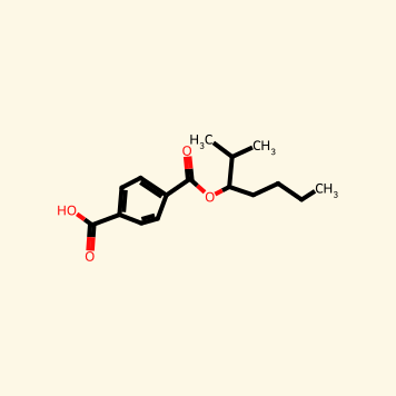 CCCCC(OC(=O)c1ccc(C(=O)O)cc1)C(C)C